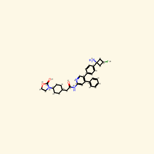 N[C@]1(c2ccc(-c3cnc(NC(=O)CC4CCC(N5CCOC5=O)CC4)cc3-c3ccccc3)cc2)C[C@H](F)C1